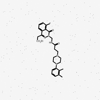 CCOC(=O)Cc1nn(CNC(=O)CCN2CCN(c3cccc(C)c3C)CC2)c(=O)c2c(F)cccc12